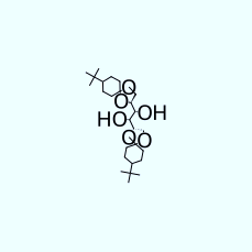 CC(C)(C)C1CCC2(CC1)OC[C@@H]([C@H](O)[C@@H](O)[C@@H]1COC3(CCC(C(C)(C)C)CC3)O1)O2